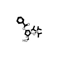 CC(C)[Si](O[C@H]1C[C@@H](OC(=O)c2ccccc2)C[C@@H]1CO)(C(C)C)C(C)C